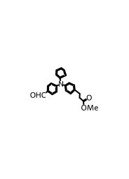 COC(=O)CCc1ccc(N(c2ccccc2)c2ccc(C=O)cc2)cc1